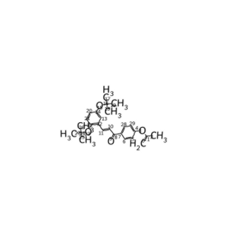 C=C(C)Oc1ccc(C(=O)C=Cc2cc(OC(C)(C)C)ccc2OC(C)(C)C)cc1